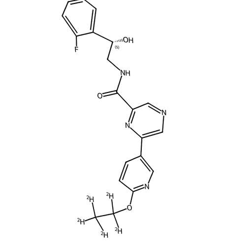 [2H]C([2H])([2H])C([2H])([2H])Oc1ccc(-c2cncc(C(=O)NC[C@@H](O)c3ccccc3F)n2)cn1